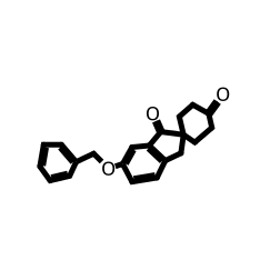 O=C1CCC2(CC1)Cc1ccc(OCc3ccccc3)cc1C2=O